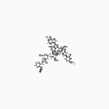 CSS[C@H](CC[C@@H](NC(=O)OC(C)(C)C)C(=O)O[C@H]1[C@@H](O)[C@@H](n2cnc3c(N)ncnc32)O[C@H]1COP(=O)(O)O[C@H]1C[C@H](n2ccc(N)nc2=O)O[C@@H]1COP(=O)(O)O)CNC(=O)OCc1ccccc1N=[N+]=[N-]